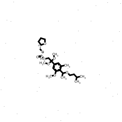 COc1cc(C(CO[PH](=O)OC[C@@H]2CCCO2)(OC)OC)cc(C)c1C(C)OCCC(C)C